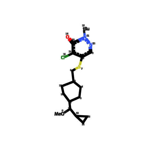 COC(C1CCC(CSc2cnn(C(C)(C)C)c(=O)c2Cl)CC1)C1CC1